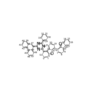 C1=Cc2oc3c(-c4cccc5c4oc4ccccc45)cccc3c2C(c2nc(-c3ccccc3)nc(-c3cc4ccccc4c4ccccc34)n2)C1